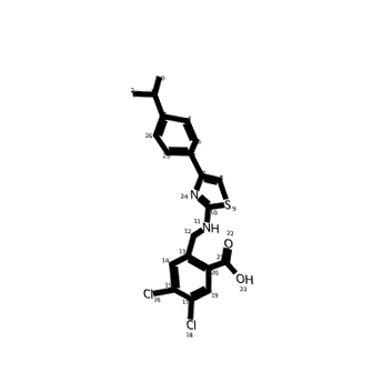 CC(C)c1ccc(-c2csc(NCc3cc(Cl)c(Cl)cc3C(=O)O)n2)cc1